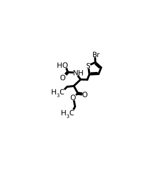 CCOC(=O)C(CC)C(Cc1ccc(Br)s1)NC(=O)O